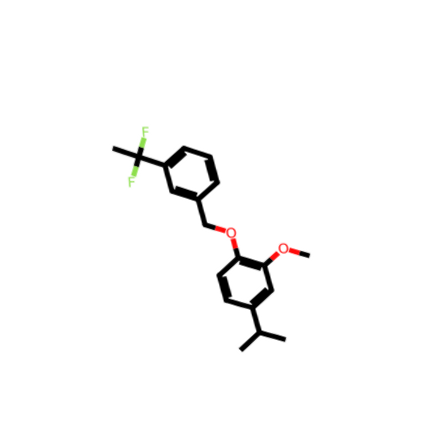 COc1cc(C(C)C)ccc1OCc1cccc(C(C)(F)F)c1